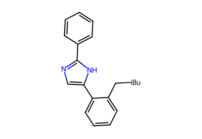 CCC(C)Cc1cc[c]cc1-c1cnc(-c2ccccc2)[nH]1